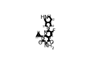 Nn1c(=O)c2cc(F)c(N3CC4CCNCC4C3)nc2n(C2CC2)c1=O